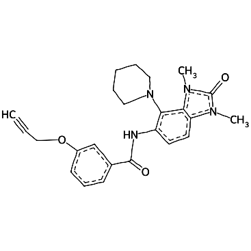 C#CCOc1cccc(C(=O)Nc2ccc3c(c2N2CCCCC2)n(C)c(=O)n3C)c1